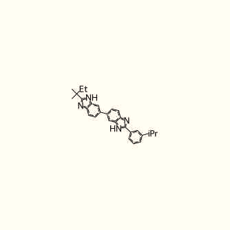 CCC(C)(C)c1nc2ccc(-c3ccc4nc(-c5cccc(C(C)C)c5)[nH]c4c3)cc2[nH]1